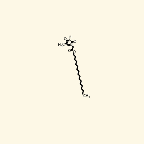 CCCCCCCCCCCCCCCCCCOC(=O)Cn1cc(C)c(=O)[nH]c1=O